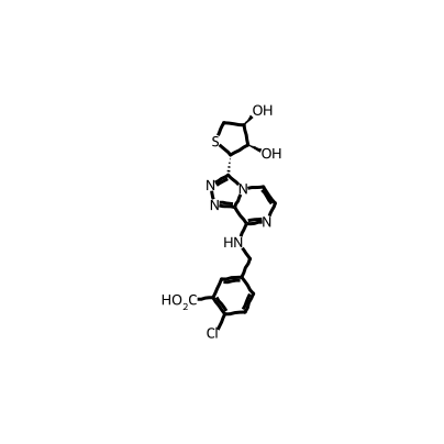 O=C(O)c1cc(CNc2nccn3c([C@@H]4SC[C@@H](O)[C@H]4O)nnc23)ccc1Cl